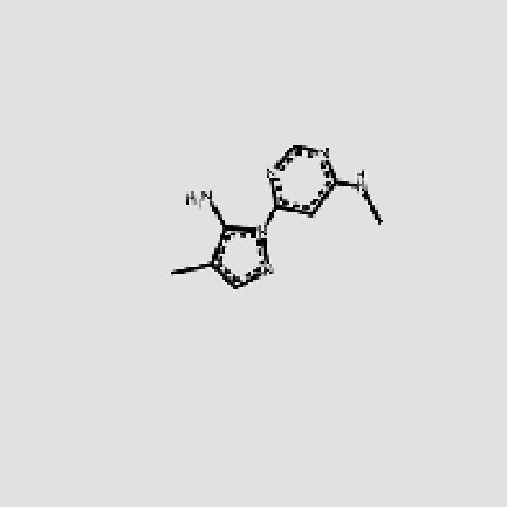 CNc1cc(-n2ncc(C)c2N)ncn1